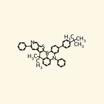 CC(C)(C)c1ccc(-c2ccc3c(c2)N(c2ccccc2)c2cccc4c2B3c2sc3cnc(-c5ccccc5)cc3c2C4(C)C)cc1